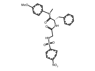 COc1ccc(N(C)C(=O)[C@H](Cc2ccccc2)NC(=O)CNS(=O)(=O)c2ccc([N+](=O)[O-])cc2)cc1